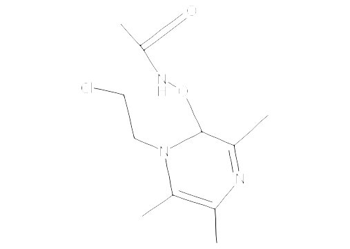 CC(=O)NOC1C(C)=NC(C)=C(C)N1CCCl